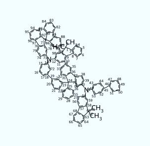 CC1(C)c2ccccc2-c2ccc(N(c3cccc(-c4cccc(C5(c6ccccc6)c6ccccc6-c6ccc(N(c7ccc(-c8ccccc8)cc7)c7ccc8c(c7)C(C)(C)c7ccccc7-8)cc65)c4)c3)c3ccc4c(c3)C(c3ccccc3)(c3ccccc3)c3ccccc3-4)cc21